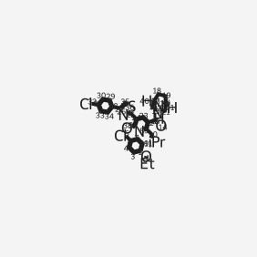 CCOc1ccc(Cl)c(-n2c(CC(C)C)c(C(=O)N3C[C@H]4CC[C@@H](C3)N4)cc(-c3nc(-c4ccc(Cl)cc4)cs3)c2=O)c1